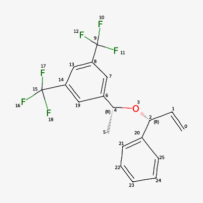 C=C[C@@H](O[C@H](C)c1cc(C(F)(F)F)cc(C(F)(F)F)c1)c1ccccc1